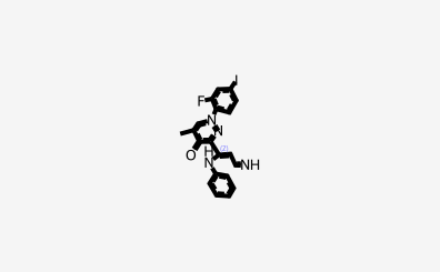 Cc1cn(-c2ccc(I)cc2F)nc(/C(=C/C=N)Nc2ccccc2)c1=O